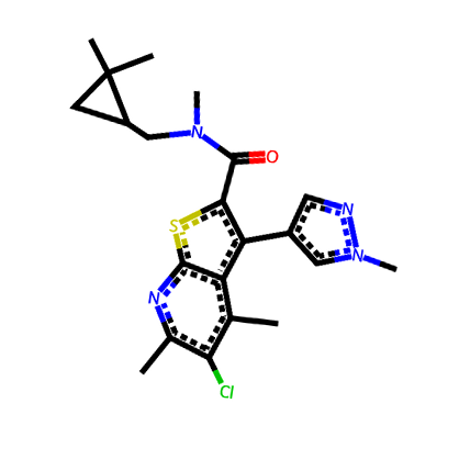 Cc1nc2sc(C(=O)N(C)CC3CC3(C)C)c(-c3cnn(C)c3)c2c(C)c1Cl